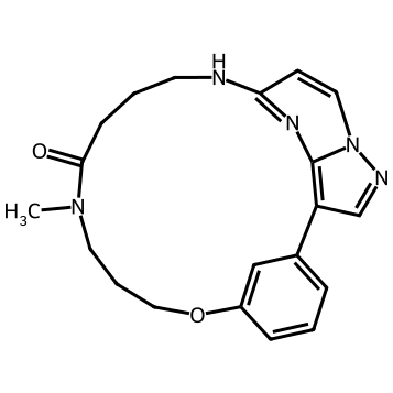 CN1CCCOc2cccc(c2)-c2cnn3ccc(nc23)NCCCC1=O